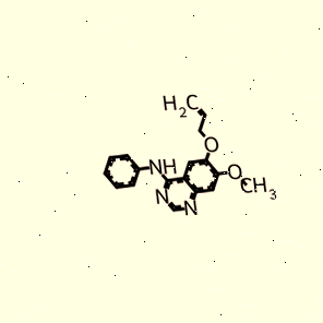 C=CCOc1cc2c(Nc3ccccc3)ncnc2cc1OC